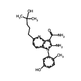 Cc1ccc(O)cc1-n1c(N)c(C(N)=O)c2nc(CCCC(C)(C)O)ccc21